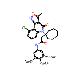 COc1cc(NC(=O)CC2(n3c(=O)c4c(C)onc4c4c(Cl)cccc43)CCCCCC2)cc(OC)c1OC